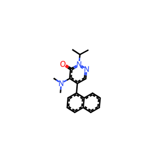 CC(C)n1ncc(-c2cccc3ccccc23)c(N(C)C)c1=O